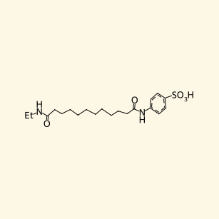 CCNC(=O)CCCCCCCCCCC(=O)Nc1ccc(S(=O)(=O)O)cc1